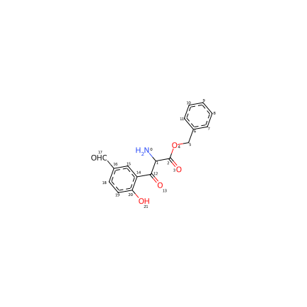 NC(C(=O)OCc1ccccc1)C(=O)c1cc(C=O)ccc1O